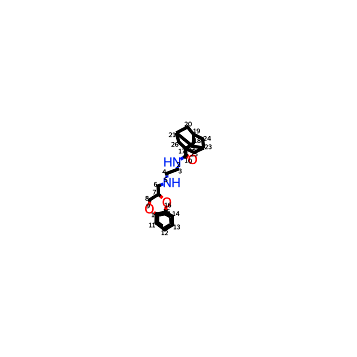 O=C(NCCNCC1COc2ccccc2O1)C12CC3CC(CC(C3)C1)C2